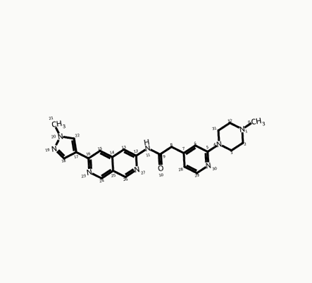 CN1CCN(c2cc(CC(=O)Nc3cc4cc(-c5cnn(C)c5)ncc4cn3)ccn2)CC1